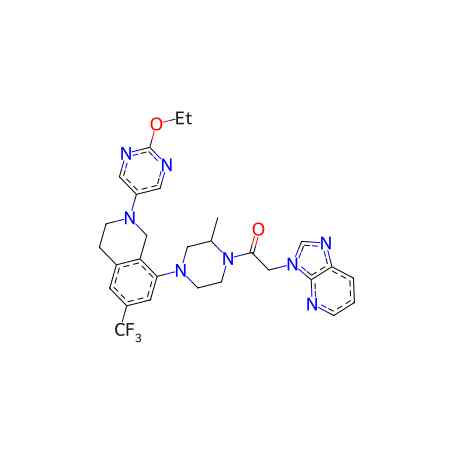 CCOc1ncc(N2CCc3cc(C(F)(F)F)cc(N4CCN(C(=O)Cn5cnc6cccnc65)C(C)C4)c3C2)cn1